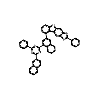 c1ccc(-c2nc(-c3ccc4ccccc4c3)nc(-c3cc(-c4cccc5oc6cc7nc(-c8ccccc8)sc7cc6c45)cc4ccccc34)n2)cc1